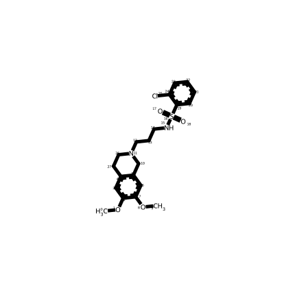 COc1cc2c(cc1OC)CN(CCCNS(=O)(=O)c1ccccc1Cl)CC2